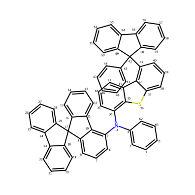 c1ccc(N(c2cccc3c2-c2ccccc2C32c3ccccc3-c3ccccc32)c2cccc3c2sc2cccc(C4(c5ccccc5)c5ccccc5-c5ccccc54)c23)cc1